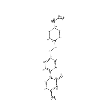 Nc1ccn(-c2ccc(CCN3CCC(NC(=O)O)CC3)cc2)c(=O)n1